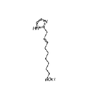 CCCCCCCCCCCCCCC=CCc1ncc[nH]1